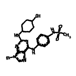 CCn1cnc2c(Nc3ccc(NS(C)(=O)=O)cc3)nc(NC3CCC(O)CC3)nc21